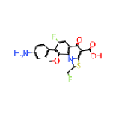 COc1c(-c2ccc(N)cc2)c(F)cc2c(=O)c(C(=O)O)c3n(c12)C(CF)S3